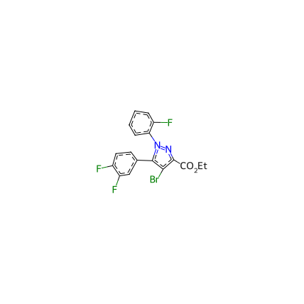 CCOC(=O)c1nn(-c2ccccc2F)c(-c2ccc(F)c(F)c2)c1Br